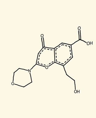 O=C(O)c1cc(CCO)c2oc(N3CCOCC3)cc(=O)c2c1